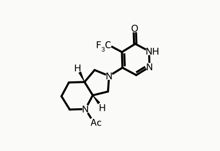 CC(=O)N1CCC[C@@H]2CN(c3cn[nH]c(=O)c3C(F)(F)F)C[C@@H]21